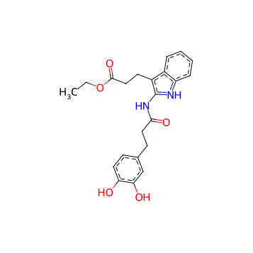 CCOC(=O)CCc1c(NC(=O)CCc2ccc(O)c(O)c2)[nH]c2ccccc12